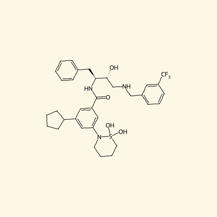 O=C(N[C@@H](Cc1ccccc1)[C@H](O)CNCc1cccc(C(F)(F)F)c1)c1cc(C2CCCC2)cc(N2CCCCS2(O)O)c1